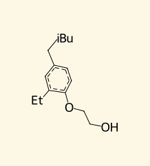 CCc1cc(CC(C)CC)ccc1OCCO